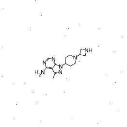 Cc1nn(C2CCN(C3CNC3)CC2)c2ncnc(N)c12